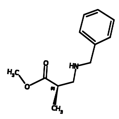 COC(=O)[C@H](C)CNCc1ccccc1